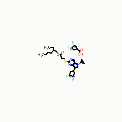 CCCCC(CC)COC(=O)CCSc1ncc2c(n1)c(C1C[C@@H](F)[C@H](F)C1)cn2C1CC1.O=C(O)C1C[C@@H](F)[C@H](F)C1